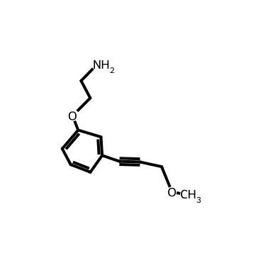 COCC#Cc1cccc(OCCN)c1